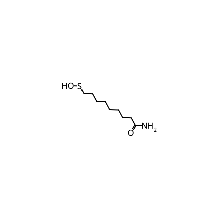 NC(=O)CCCCCCCCSO